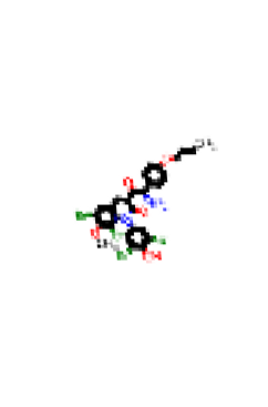 CCCCOc1ccc(C(N)C(=O)C(Cc2cc(Br)c(OC)c(Br)c2)C(=O)Nc2cc(Br)c(O)c(Br)c2)cc1